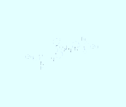 CC(C)(C)OC(=O)NC1CCN(c2cc3c(c(C(=O)O)c2)[C@H](Cc2ccccc2)N(c2ccc(Br)c(C(=O)OC(C)(C)C)n2)CC3)C1